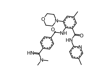 Cc1ccc(NC(=O)c2cc(C)cc(N3CCOCC3)c2NC(=O)c2ccc(C(=N)N(C)C)cc2)nc1